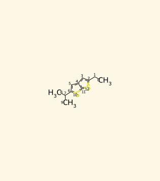 CCc1cc2cc(C(C)C)sc2s1